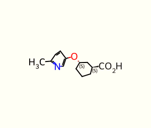 Cc1ccc(O[C@H]2CCC[C@H](C(=O)O)C2)cn1